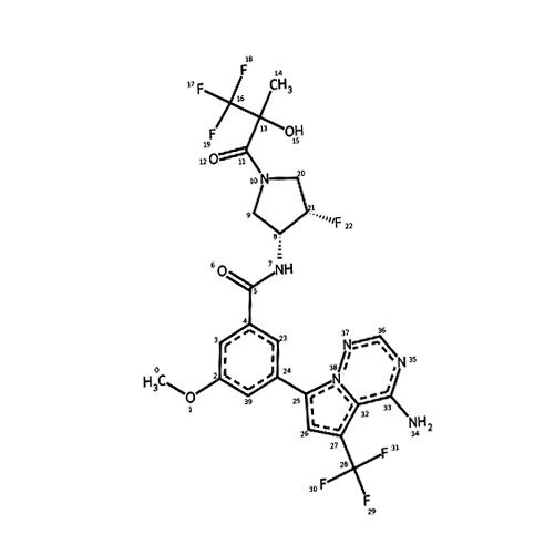 COc1cc(C(=O)N[C@@H]2CN(C(=O)C(C)(O)C(F)(F)F)C[C@@H]2F)cc(-c2cc(C(F)(F)F)c3c(N)ncnn23)c1